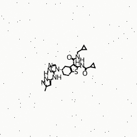 Cc1cc(Nc2nncn2[C@H]2CCc3sc(NC(=O)C4CC4)c(C(=O)NCC4CC4)c3C2)[nH]n1